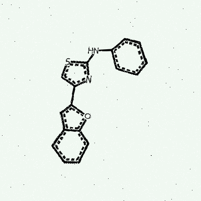 c1ccc(Nc2nc(-c3cc4ccccc4o3)cs2)cc1